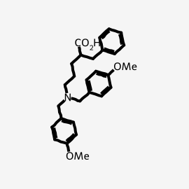 COc1ccc(CN(CCCC(Cc2ccccc2)C(=O)O)Cc2ccc(OC)cc2)cc1